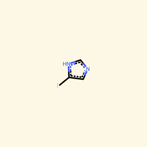 [C]c1cnc[nH]1